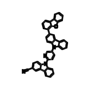 N#Cc1ccc2c(c1)c1ccccc1n2-c1ccc(-n2c3ccccc3c3cc(-c4cccc5c4oc4ccccc45)ccc32)cn1